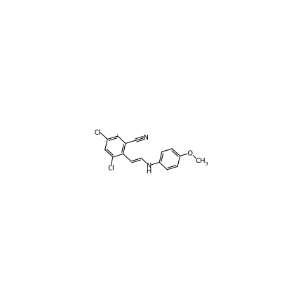 COc1ccc(NC=Cc2c(C#N)[c]c(Cl)cc2Cl)cc1